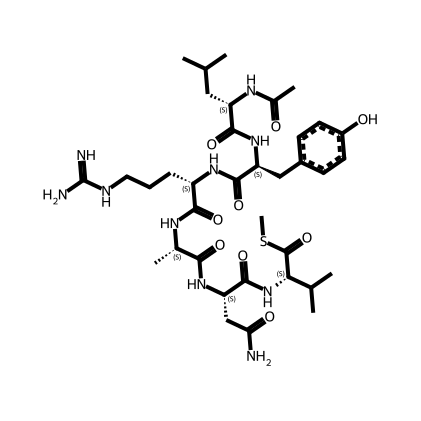 CSC(=O)[C@@H](NC(=O)[C@H](CC(N)=O)NC(=O)[C@H](C)NC(=O)[C@H](CCCNC(=N)N)NC(=O)[C@H](Cc1ccc(O)cc1)NC(=O)[C@H](CC(C)C)NC(C)=O)C(C)C